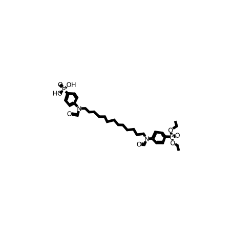 CCOP(=O)(OCC)c1ccc(N(C=O)CCCCCCCCCCCCCN(C=O)c2ccc(P(=O)(O)O)cc2)cc1